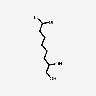 CCC(O)CCCCCC(O)CO